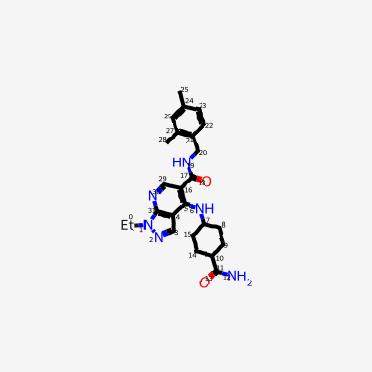 CCn1ncc2c(NC3CCC(C(N)=O)CC3)c(C(=O)NCc3ccc(C)cc3C)cnc21